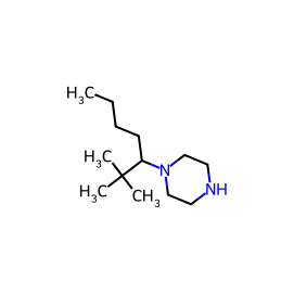 CCCCC(N1CCNCC1)C(C)(C)C